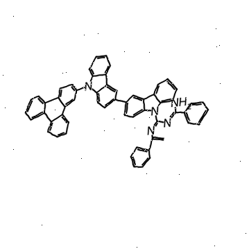 C=C(/N=C(\N=C(/N)c1ccccc1)n1c2ccccc2c2cc(-c3ccc4c(c3)c3ccccc3n4-c3ccc4c5ccccc5c5ccccc5c4c3)ccc21)c1ccccc1